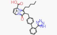 CCCCCc1c(Cc2ccc(-c3ccccc3-c3nnn[nH]3)cc2)c(=O)n2n1C1(C(=O)O)C=CC2CC1